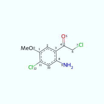 COc1cc(C(=O)CCl)c(N)cc1Cl